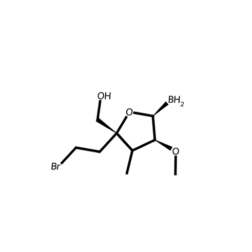 B[C@@H]1O[C@@](CO)(CCBr)C(C)[C@@H]1OC